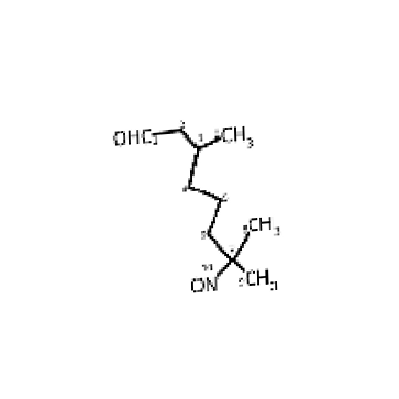 CC(CC=O)CCCC(C)(C)N=O